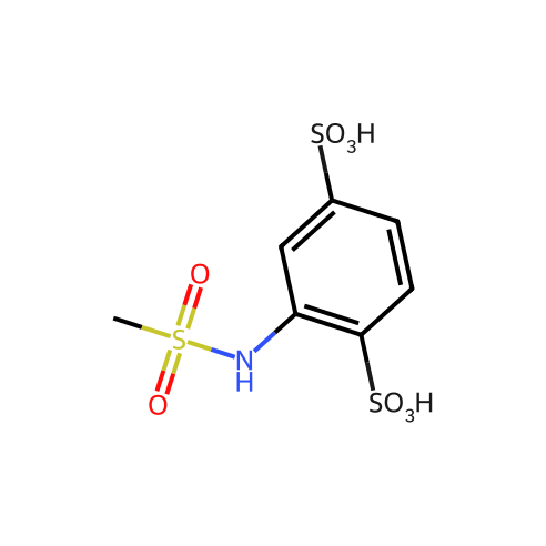 CS(=O)(=O)Nc1cc(S(=O)(=O)O)ccc1S(=O)(=O)O